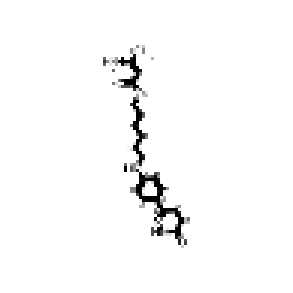 CC(N)=CC(=O)OCCCCCCNc1ccc(C2=NNC(=O)CC2)cc1